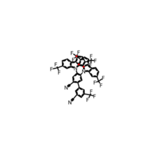 N#Cc1cc(-c2cc(-n3c4cc(C(F)(F)F)ccc4c4ccc(C(F)(F)F)cc43)c(-n3c4cc(C(F)(F)F)ccc4c4ccc(C(F)(F)F)cc43)cc2C#N)cc(C(F)(F)F)c1